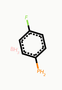 B.Fc1ccc(P)cc1